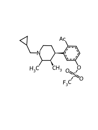 CC(=O)c1ccc(OS(=O)(=O)C(F)(F)F)cc1[C@@H]1CCN(CC2CC2)C(C)[C@@H]1C